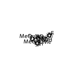 COc1cccc(-c2nnc(NS(=O)(=O)C[C@@H](O)c3ccc(F)cc3)n2-c2c(OC)cccc2OC)n1